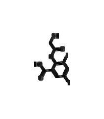 O=C(CS)Oc1c(I)cc(I)cc1C(=O)O